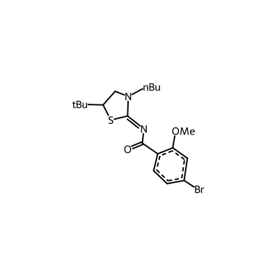 CCCCN1CC(C(C)(C)C)SC1=NC(=O)c1ccc(Br)cc1OC